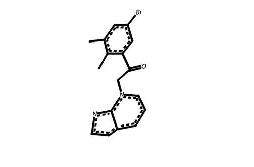 Cc1cc(Br)cc(C(=O)Cn2cccc3ccnc2-3)c1C